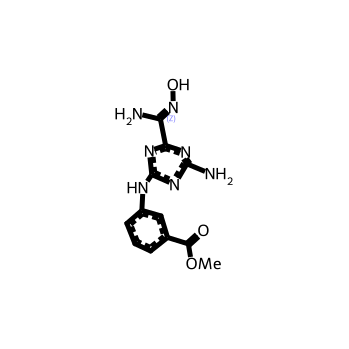 COC(=O)c1cccc(Nc2nc(N)nc(/C(N)=N/O)n2)c1